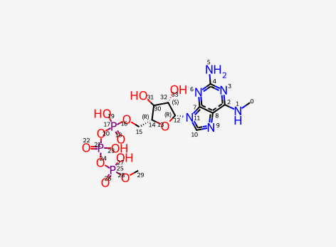 CNc1nc(N)nc2c1ncn2[C@@H]1O[C@H](COP(=O)(O)OP(=O)(O)OP(=O)(O)OC)C(O)[C@@H]1O